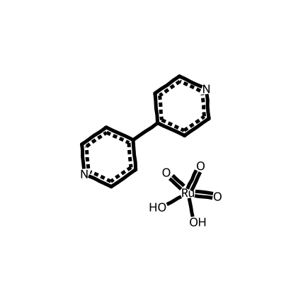 [O]=[Ru](=[O])(=[O])([OH])[OH].c1cc(-c2ccncc2)ccn1